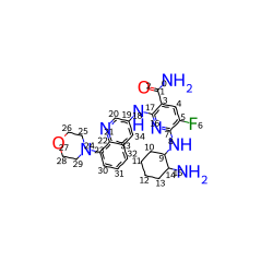 NC(=O)c1cc(F)c(NC2CCCCC2N)nc1Nc1cnc2c(N3CCOCC3)cccc2c1